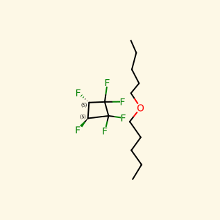 CCCCCOCCCCC.F[C@H]1[C@H](F)C(F)(F)C1(F)F